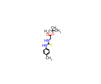 Cc1ccc(NC(=S)NCC(=O)OC(C)(C)C)cc1